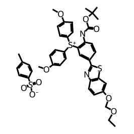 CCOCOc1ccc2nc(-c3ccc(N(C)C(=O)OC(C)(C)C)c([S+](c4ccc(OC)cc4)c4ccc(OC)cc4)c3)sc2c1.Cc1ccc(S(=O)(=O)[O-])cc1